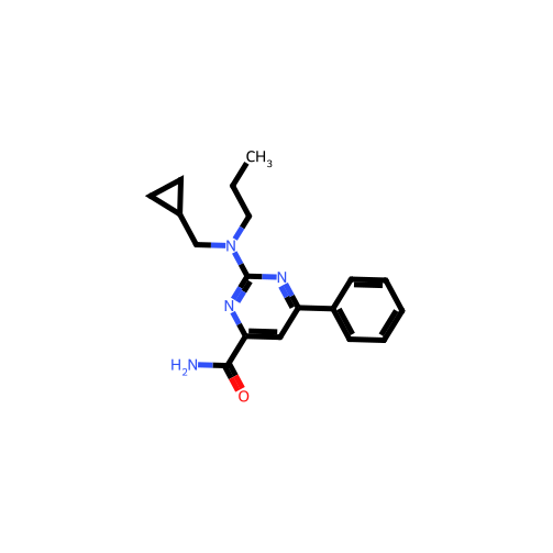 CCCN(CC1CC1)c1nc(C(N)=O)cc(-c2ccccc2)n1